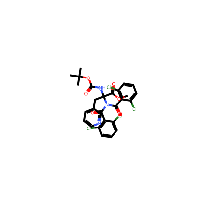 COC(=O)C(Cc1cccnc1)(NC(=O)OC(C)(C)C)N(C(=O)c1c(Cl)cccc1Cl)C(=O)c1c(Cl)cccc1Cl